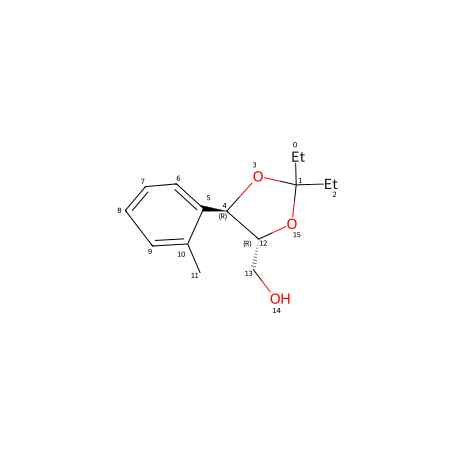 CCC1(CC)O[C@H](c2ccccc2C)[C@@H](CO)O1